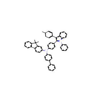 CC1C=CC(c2c(-c3ccc(N(c4ccc(-c5ccccc5)cc4)c4ccc5c(c4)C(C)(C)c4ccccc4-5)cc3)n(-c3ccccc3)c3ccccc23)=CC1